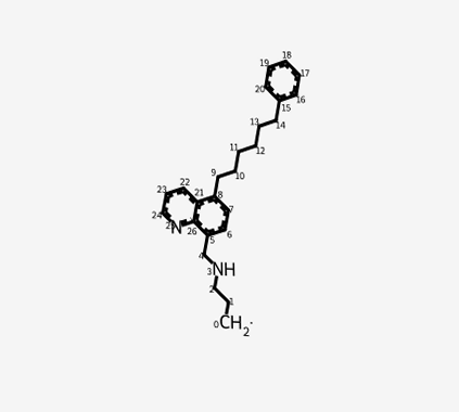 [CH2]CCNCc1ccc(CCCCCCc2ccccc2)c2cccnc12